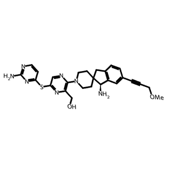 COCC#Cc1ccc2c(c1)[C@@H](N)C1(CCN(c3ncc(Sc4ccnc(N)n4)nc3CO)CC1)C2